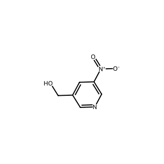 O=[N+]([O-])c1cncc(CO)c1